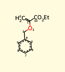 C=C(OCc1ccccc1)C(=O)OCC